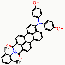 CC(C)c1cccc(C(C)C)c1N1C(=O)c2ccc3c4cccc5c(N(c6ccc(O)cc6)c6ccc(O)cc6)ccc(c6ccc(c2c36)C1=O)c54